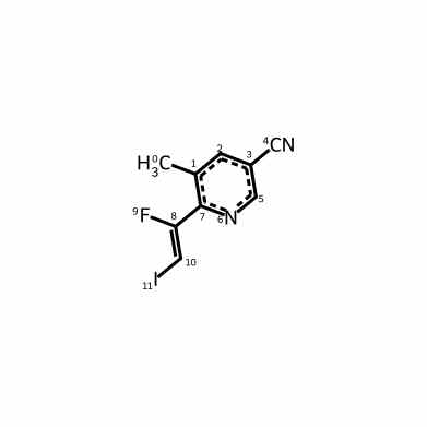 Cc1cc(C#N)cnc1C(F)=CI